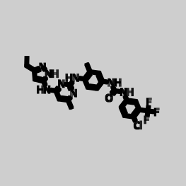 CCc1cc(Nc2cc(C)nc(Nc3ccc(NC(=O)Nc4ccc(Cl)c(C(F)(F)F)c4)cc3C)n2)[nH]n1